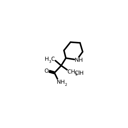 CC(C)(C(N)=O)C1CCCCN1.Cl